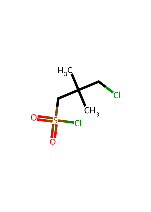 CC(C)(CCl)CS(=O)(=O)Cl